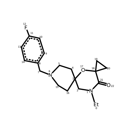 CCN1CC2(CCN(Cc3ccc(F)cc3)CC2)OC2(CC2)C1=O